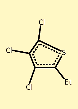 CCc1sc(Cl)c(Cl)c1Cl